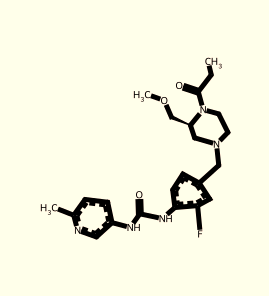 CCC(=O)N1CCN(Cc2ccc(NC(=O)Nc3ccc(C)nc3)c(F)c2)C[C@H]1COC